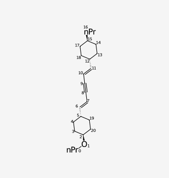 CCCO[C@H]1CC[C@H](/C=C/C#C/C=C/[C@H]2CC[C@H](CCC)CC2)CC1